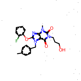 Cc1ccc(Cn2c(Oc3ccccc3F)nc3c2c(=O)n(CCCO)c(=O)n3C)cc1